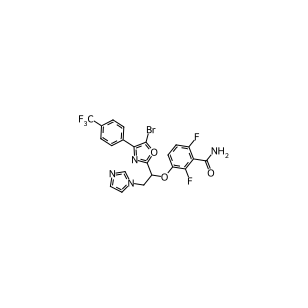 NC(=O)c1c(F)ccc(OC(Cn2ccnc2)c2nc(-c3ccc(C(F)(F)F)cc3)c(Br)o2)c1F